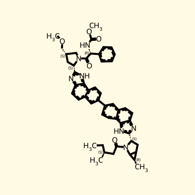 CC[C@H](C)CC(=O)N1C2C(C[C@H]1c1nc3ccc4cc(-c5ccc6c(ccc7nc([C@@H]8C[C@H](COC)CN8C(=O)[C@H](NC(=O)OC)c8ccccc8)[nH]c76)c5)ccc4c3[nH]1)[C@H]2C